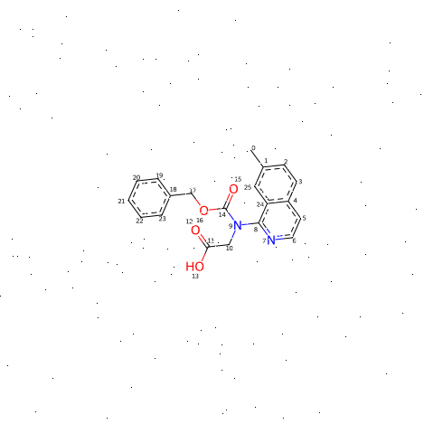 Cc1ccc2ccnc(N(CC(=O)O)C(=O)OCc3ccccc3)c2c1